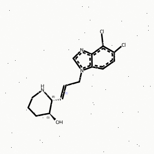 O[C@H]1CCCN[C@@H]1/C=C/Cn1cnc2c(Cl)c(Cl)ccc21